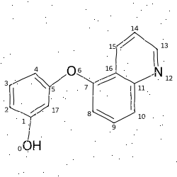 Oc1cccc(Oc2cccc3ncccc23)c1